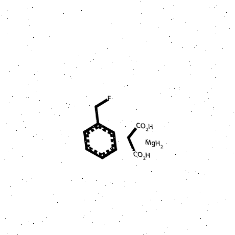 FCc1ccccc1.O=C(O)CC(=O)O.[MgH2]